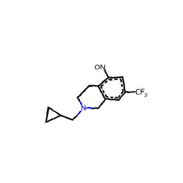 O=Nc1cc(C(F)(F)F)cc2c1CCN(CC1CC1)C2